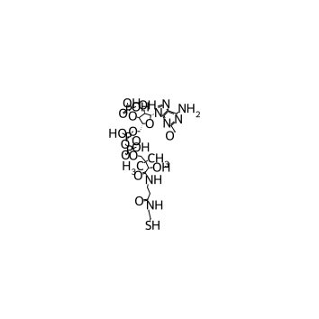 CC(C)(COP(=O)(O)OP(=O)(O)OC[C@H]1O[C@@H](n2cnc3c(N)nc(C=O)nc32)[C@H](O)[C@@H]1OP(=O)(O)O)[C@@H](O)C(=O)NCCC(=O)NCCS